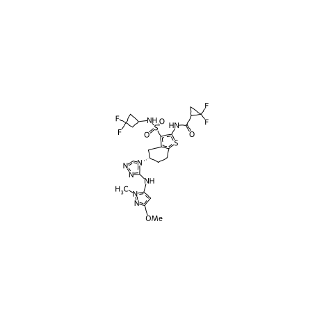 COc1cc(Nc2nncn2[C@H]2CCc3sc(NC(=O)C4CC4(F)F)c(S(=O)(=O)NC4CC(F)(F)C4)c3C2)n(C)n1